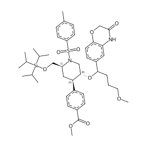 COCCCC(O[C@H]1CN(S(=O)(=O)c2ccc(C)cc2)[C@H](CO[Si](C(C)C)(C(C)C)C(C)C)C[C@@H]1c1ccc(C(=O)OC)cc1)c1ccc2c(c1)NC(=O)CO2